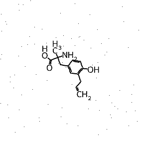 C=CCc1cc(CC(C)(N)C(=O)O)ccc1O